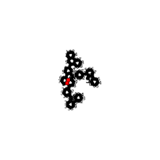 c1ccc(-c2ccc(-c3cc4ccccc4c4ccccc34)cc2N(c2ccc(-c3cccc(-n4c5ccccc5c5ccccc54)c3)cc2)c2ccc(-c3cccc4c3sc3ccccc34)cc2)cc1